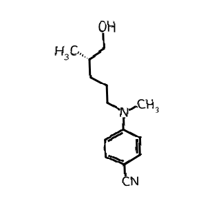 C[C@H](CO)CCCN(C)c1ccc(C#N)cc1